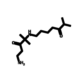 CC(C)C(=O)CCCCNC(C)(C)C(=O)CCN